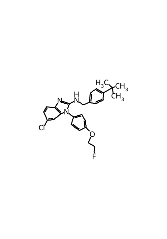 CC(C)(C)c1ccc(CNc2nc3ccc(Cl)cc3n2-c2ccc(OCCF)cc2)cc1